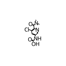 CN(C)C(=O)c1ncc(NC(=O)O)cc1Cl